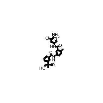 Cc1ccc(NC(=O)c2cccc(C(C)(C#N)CO)c2)cc1C(=O)Nc1cnc(N)c(Cl)c1